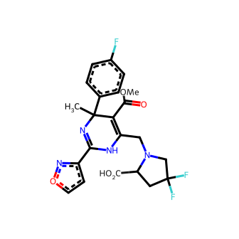 COC(=O)C1=C(CN2CC(F)(F)CC2C(=O)O)NC(c2ccon2)=NC1(C)c1ccc(F)cc1